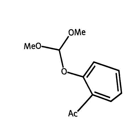 COC(OC)Oc1ccccc1C(C)=O